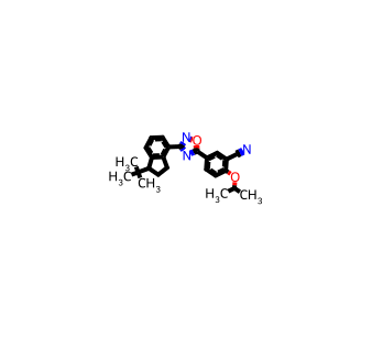 CC(C)Oc1ccc(-c2nc(-c3cccc4c3CC[C]4C(C)(C)C)no2)cc1C#N